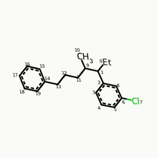 CCC(c1cccc(Cl)c1)C(C)[CH]CCc1ccccc1